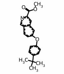 COC(=O)c1cc2cc(Oc3ccc(C(C)(C)C)cc3)ccc2cn1